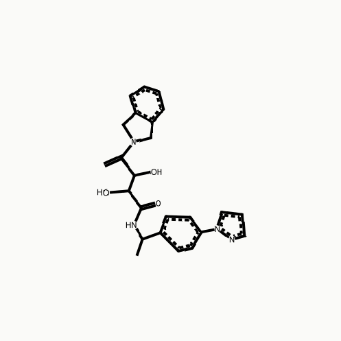 C=C(C(O)C(O)C(=O)NC(C)c1ccc(-n2cccn2)cc1)N1Cc2ccccc2C1